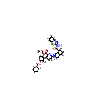 Cc1c(OCC2CCCCC2)cccc1-c1ccc(N2CCc3cccc(C(=O)Nc4nc5ccccc5s4)c3C2)nc1C(=O)OC(C)(C)C